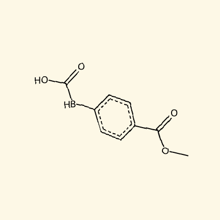 COC(=O)c1ccc(BC(=O)O)cc1